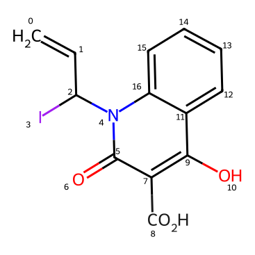 C=CC(I)n1c(=O)c(C(=O)O)c(O)c2ccccc21